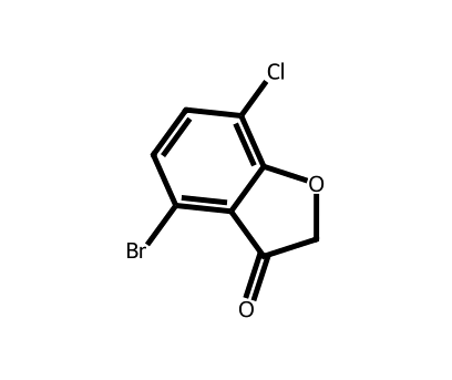 O=C1COc2c(Cl)ccc(Br)c21